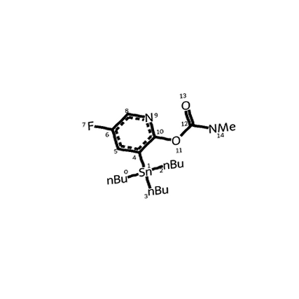 CCC[CH2][Sn]([CH2]CCC)([CH2]CCC)[c]1cc(F)cnc1OC(=O)NC